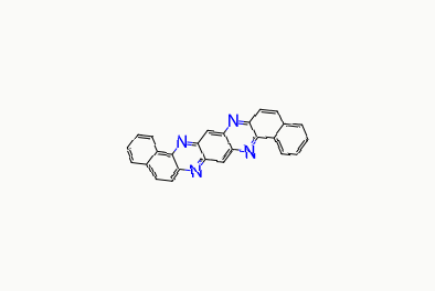 c1ccc2c(c1)ccc1nc3cc4nc5c(ccc6ccccc65)nc4cc3nc12